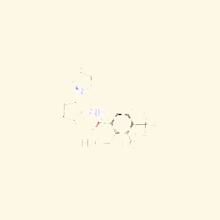 CCc1c(C(=O)N[C@@H]2CCC[C@@H]2N2CCCC2)ccc(C(F)(F)F)c1C